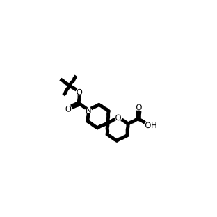 CC(C)(C)OC(=O)N1CCC2(CCCC(C(=O)O)O2)CC1